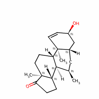 C[C@@H]1C[C@H]2C[C@H](O)C=C[C@]2(C)[C@H]2CC[C@]3(C)C(=O)CC[C@H]3[C@H]12